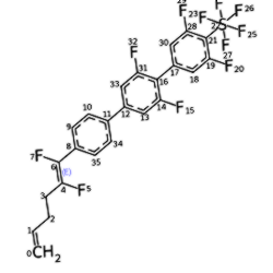 C=CCC/C(F)=C(\F)c1ccc(-c2cc(F)c(-c3cc(F)c(S(F)(F)(F)(F)F)c(F)c3)c(F)c2)cc1